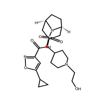 O=C(N[C@H]1C[C@H]2CC[C@@H](C1)N2S(=O)(=O)CC1CCN(CCO)CC1)c1cc(C2CC2)on1